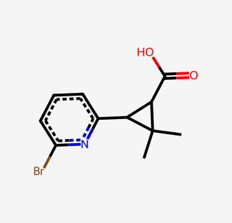 CC1(C)C(C(=O)O)C1c1cccc(Br)n1